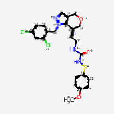 COc1ccc(SNC(=O)NC/C=C2\COCc3cnn(Cc4ccc(Cl)cc4Cl)c32)cc1